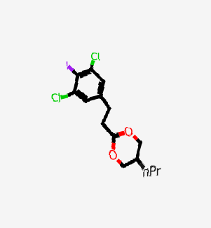 CCCC1COC(CCc2cc(Cl)c(I)c(Cl)c2)OC1